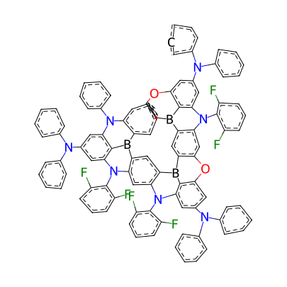 Fc1cccc(F)c1N1c2cc3c(cc2B2c4ccccc4Oc4cc(N(c5ccccc5)c5ccccc5)cc1c42)B1c2cc4c(cc2N(c2c(F)cccc2F)c2cc(N(c5ccccc5)c5ccccc5)cc(c21)O3)N(c1c(F)cccc1F)c1cc(N(c2ccccc2)c2ccccc2)cc2c1B4c1ccccc1N2c1ccccc1